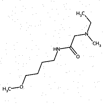 CCN(C)CC(=O)NCCCCOC